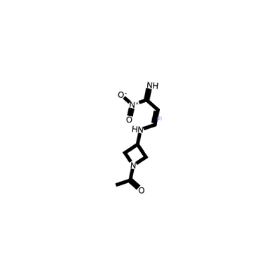 CC(=O)N1CC(N/C=C\C(=N)[N+](=O)[O-])C1